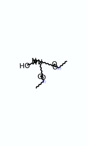 CCCCCC/C=C\COC(=O)CCCCCCCCN(CCCCCCCCC(=O)OC/C=C\CCCCCC)Cc1cnn(CCCCO)c1